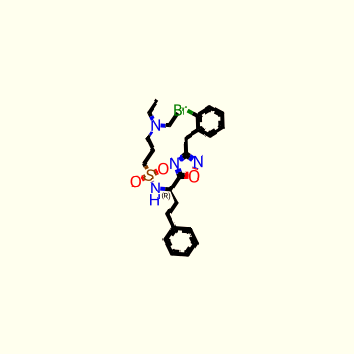 CCN(CC)CCCS(=O)(=O)N[C@H](CCc1ccccc1)c1nc(Cc2ccccc2Br)no1